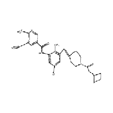 Cc1ncc(C(=O)Nc2cc(Cl)cc(C=C3CCN(C(=O)CC4CCC4)CC3)c2C)cc1C#N